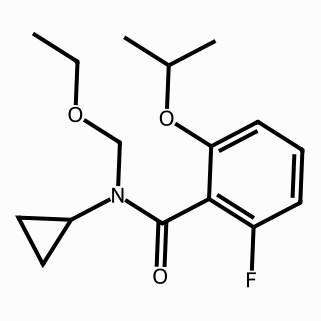 CCOCN(C(=O)c1c(F)cccc1OC(C)C)C1CC1